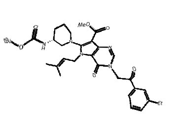 CCc1cccc(C(=O)Cn2cnc3c(C(=O)OC)c(N4CCC[C@@H](NC(=O)OC(C)(C)C)C4)n(CC=C(C)C)c3c2=O)c1